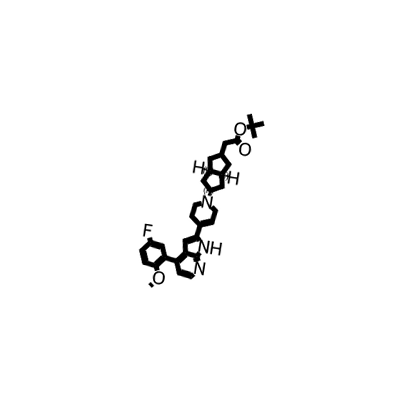 COc1ccc(F)cc1-c1ccnc2[nH]c(C3=CCN([C@H]4C[C@H]5CC(CC(=O)OC(C)(C)C)C[C@H]5C4)CC3)cc12